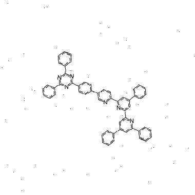 c1ccc(-c2cc(-c3ccccc3)nc(-c3cc(-c4ccccc4)cc(-c4ccc(-c5ccc(-c6nc(-c7ccccc7)nc(-c7ccccc7)n6)cc5)cn4)n3)c2)cc1